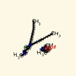 CCCCCCCCCCCCCCCCCCCCN(CCCCCCCCCCCCCCCCCCCC)c1ccc(C=Cc2cc[n+](CCCC)cc2)c(F)c1.CCCC[n+]1ccccc1.Cc1ccc(S(=O)(=O)O)cc1